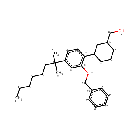 CCCCCCC(C)(C)c1ccc(C2C[CH]CC(CO)C2)c(OCc2ccccc2)c1